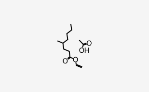 C=COC(=O)CCC(C)CCCC.CC(=O)O